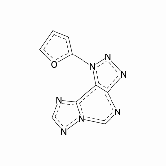 c1coc(-n2nnc3ncn4ncnc4c32)c1